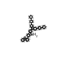 c1ccc(-c2ccc(-c3ccc4c(c3)c3cc(-c5ccc(-c6ccccc6)cc5)ccc3n4-c3ccc4c(c3)[SiH2]c3cc(-c5cccc6c5oc5ccccc56)ccc3-4)cc2)cc1